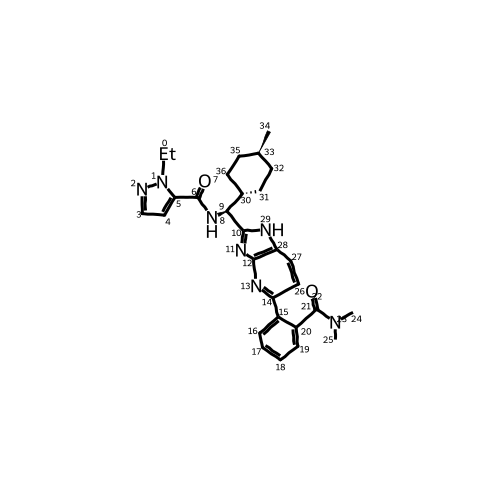 CCn1nccc1C(=O)N[C@H](c1nc2nc(-c3ccccc3C(=O)N(C)C)ccc2[nH]1)[C@H]1CC[C@H](C)CC1